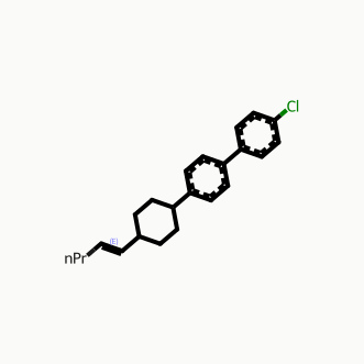 CCC/C=C/C1CCC(c2ccc(-c3ccc(Cl)cc3)cc2)CC1